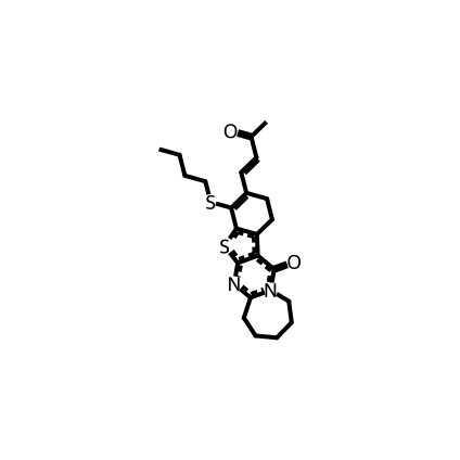 CCCCSC1=C(/C=C/C(C)=O)CCc2c1sc1nc3n(c(=O)c21)CCCCC3